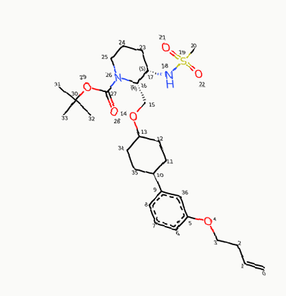 C=CCCOc1cccc(C2CCC(OC[C@H]3[C@@H](NS(C)(=O)=O)CCCN3C(=O)OC(C)(C)C)CC2)c1